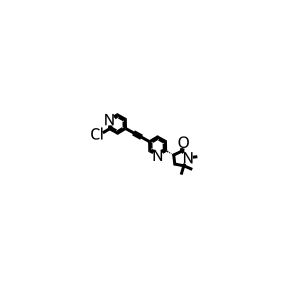 CN1C(=O)[C@@H](c2ccc(C#Cc3ccnc(Cl)c3)cn2)CC1(C)C